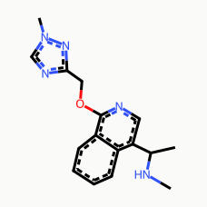 CNC(C)c1cnc(OCc2ncn(C)n2)c2ccccc12